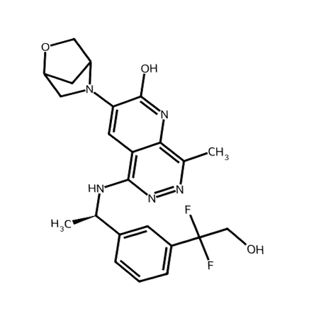 Cc1nnc(N[C@H](C)c2cccc(C(F)(F)CO)c2)c2cc(N3CC4CC3CO4)c(O)nc12